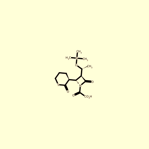 C[C@@H](O[Si](C)(C)C)[C@H]1C(=O)N(C(=O)C(=O)O)[C@@H]1[C@@H]1CCCSC1=O